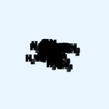 C[C@@H]([C@@H](O)[C@H](OCCO)O[C@@H]1[C@@H](O)[C@H](O[C@H]2OC(CN)=CC[C@H]2NS(=O)(=O)CCN)[C@@H](NC(=O)OC(C)(C)C)C[C@H]1NC(=O)[C@@H](O)CCNC(=O)OC(C)(C)C)N(C)C(=O)OC(C)(C)C